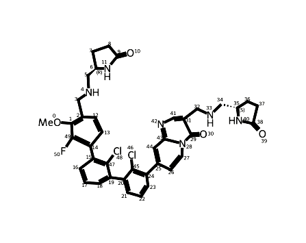 COc1c(CNC[C@H]2CCC(=O)N2)ccc(-c2cccc(-c3cccc(-c4ccn5c(=O)c(CNC[C@@H]6CCC(=O)N6)cnc5c4)c3Cl)c2Cl)c1F